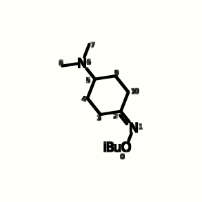 CC(C)CON=C1CCC(N(C)C)CC1